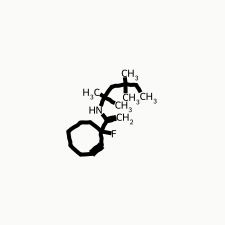 C=C(NC(C)(C)CC(C)(C)CC)C1(F)C#CCCCCC1